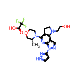 C[C@@H]1COCCN1c1nc2c(cnn2-c2cc[nH]n2)c2c1CCN2CCO.O=C(O)C(F)(F)F